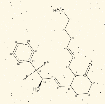 O=C(O)CCCC=CCN1C(=O)CCC[C@@H]1C=C[C@@H](O)C(F)(F)c1ccccc1